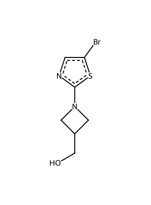 OCC1CN(c2ncc(Br)s2)C1